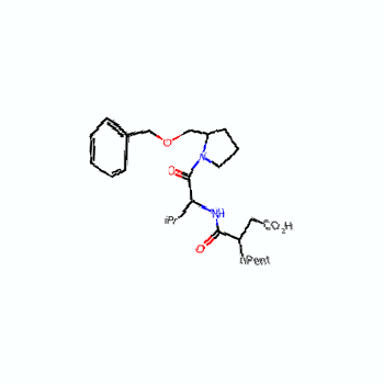 CCCCCC(CC(=O)O)C(=O)NC(C(=O)N1CCCC1COCc1ccccc1)C(C)C